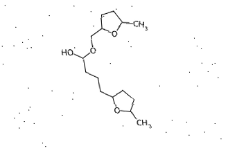 CC1CCC(CCCC(O)OCC2CCC(C)O2)O1